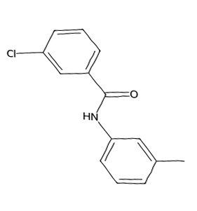 Cc1cccc(NC(=O)c2cccc(Cl)c2)c1